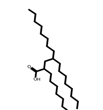 CCCCCCCCC(CCCCCCCC)CC(CCCCCCC)C(=O)O